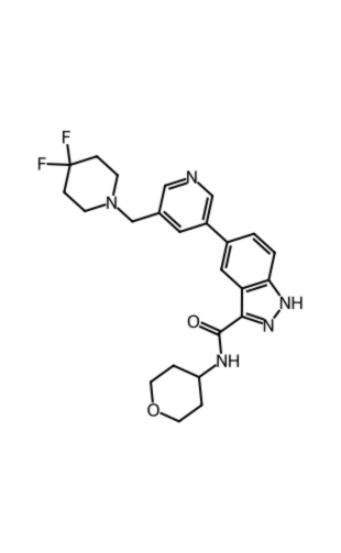 O=C(NC1CCOCC1)c1n[nH]c2ccc(-c3cncc(CN4CCC(F)(F)CC4)c3)cc12